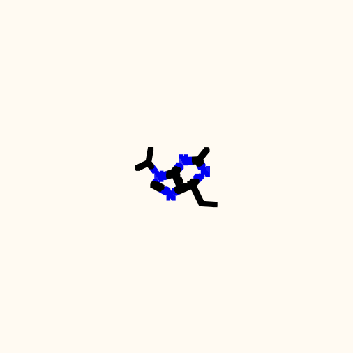 CCc1nc(C)nc2c1ncn2C(C)C